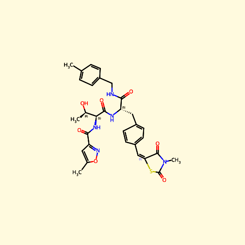 Cc1ccc(CNC(=O)[C@H](Cc2ccc(/C=C3/SC(=O)N(C)C3=O)cc2)NC(=O)[C@@H](NC(=O)c2cc(C)on2)[C@@H](C)O)cc1